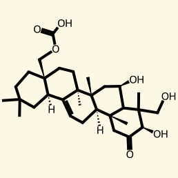 CC1(C)CC[C@]2(COC(=O)O)CC[C@]3(C)C(=CC[C@@H]4[C@@]5(C)CC(=O)[C@H](O)C(C)(CO)C5[C@H](O)C[C@]43C)[C@H]2C1